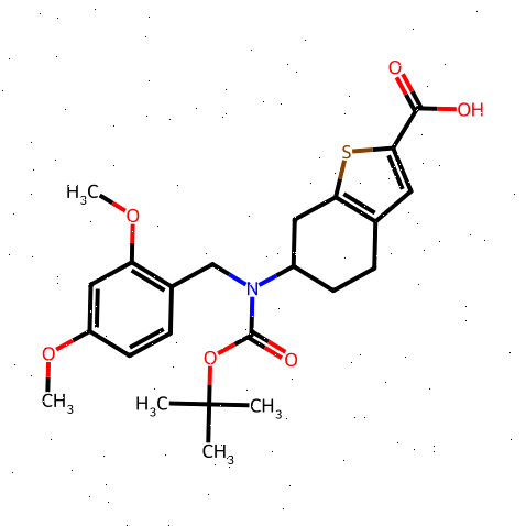 COc1ccc(CN(C(=O)OC(C)(C)C)C2CCc3cc(C(=O)O)sc3C2)c(OC)c1